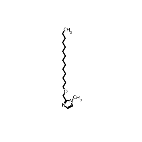 CCCCCCCCCCCCCCOCc1nccn1C